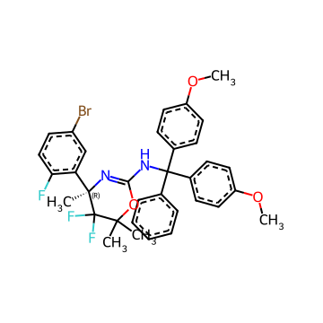 COc1ccc(C(NC2=N[C@](C)(c3cc(Br)ccc3F)C(F)(F)C(C)(C)O2)(c2ccccc2)c2ccc(OC)cc2)cc1